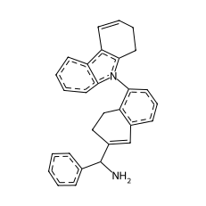 NC(C1=Cc2cccc(-n3c4c(c5ccccc53)C=CCC4)c2CC1)c1ccccc1